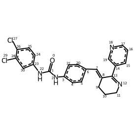 O=C(Nc1ccc(C=C2CCCN=C2c2cccnc2)cc1)Nc1ccc(Cl)c(Cl)c1